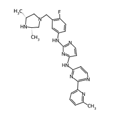 Cc1cccc(-c2nccc(Nc3ccnc(Nc4ccc(F)c(CN5C[C@@H](C)N[C@@H](C)C5)c4)n3)n2)n1